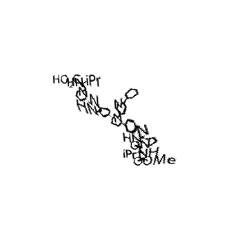 COC(=O)N[C@H](C(=O)N1CCC[C@H]1c1nc2ccc([C@H]3CC[C@H](c4ccc5nc([C@@H]6CCCN6C[C@@H](NC(=O)O)C(C)C)[nH]c5c4)N3c3ccc(C4CCCCC4)nc3)cc2[nH]1)C(C)C